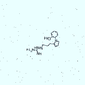 N=C(N)NN=CCCc1cccn1-c1ccccc1O